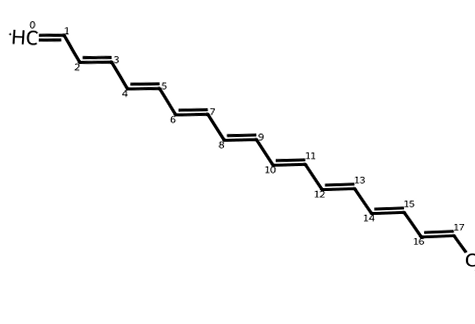 [CH]=CC=CC=CC=CC=CC=CC=CC=CC=CC